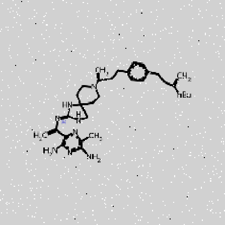 C=C(CCCC)CCc1ccc(CCC(=C)N2CCC3(CC2)CN/C(=N\C(=C)c2nc(C)c(N)nc2N)N3)cc1